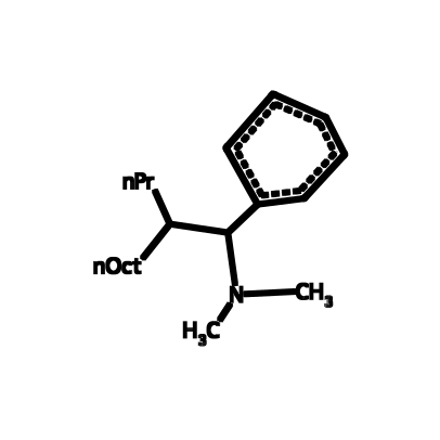 CCCCCCCCC(CCC)C(c1ccccc1)N(C)C